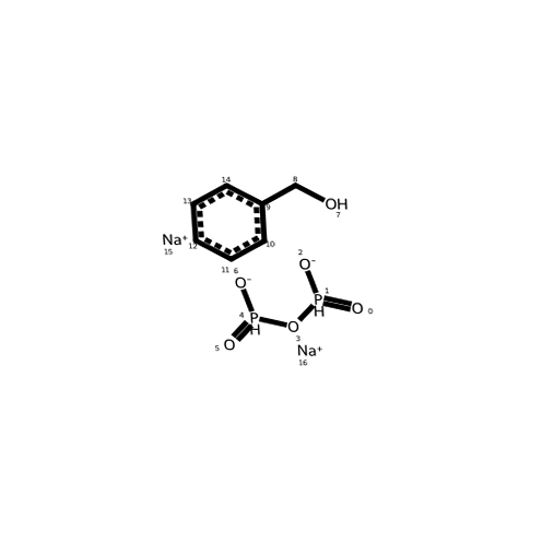 O=[PH]([O-])O[PH](=O)[O-].OCc1ccccc1.[Na+].[Na+]